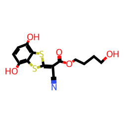 N#CC(C(=O)OCCCCO)=C1Sc2c(O)ccc(O)c2S1